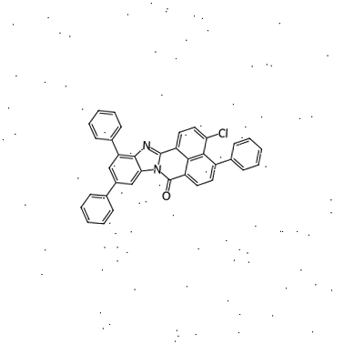 O=c1c2ccc(-c3ccccc3)c3c(Cl)ccc(c32)c2nc3c(-c4ccccc4)cc(-c4ccccc4)cc3n12